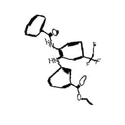 CCOC(=O)c1cccc(Nc2cc(C(F)(F)F)ccc2NC(=O)c2ccccc2)c1